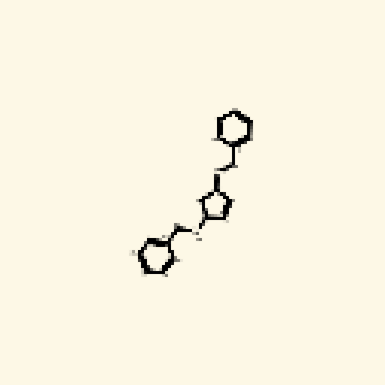 C1=CC(OCc2ccccc2)CC1OCc1ccccc1